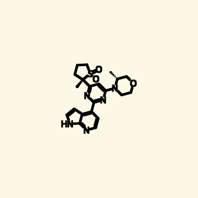 C[C@@H]1COCCN1c1cc([C@]2(C)CCCS2(=O)=O)nc(-c2ccnc3[nH]ccc23)n1